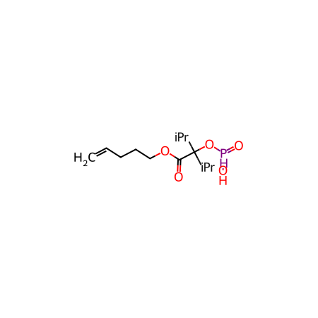 C=CCCCOC(=O)C(O[PH](=O)O)(C(C)C)C(C)C